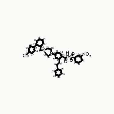 O=C(NS(=O)(=O)c1cccc([N+](=O)[O-])c1)c1ccc(N2CCN(Cc3ccccc3-c3ccc(Cl)cc3)CC2)cc1CCc1ccccc1